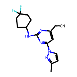 Cc1ccn(-c2cc(CC#N)nc(NC3CCC(F)(F)CC3)n2)n1